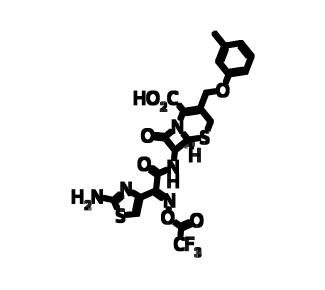 Cc1cccc(OCC2=C(C(=O)O)N3C(=O)C(NC(=O)C(=NOC(=O)C(F)(F)F)c4csc(N)n4)[C@@H]3SC2)c1